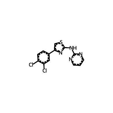 Clc1ccc(-c2csc(Nc3ncccn3)n2)cc1Cl